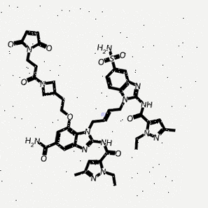 CCn1nc(C)cc1C(=O)Nc1nc2cc(S(N)(=O)=O)ccc2n1C/C=C/Cn1c(NC(=O)c2cc(C)nn2CC)nc2cc(C(N)=O)cc(OCCC3CN(C(=O)CCN4C(=O)C=CC4=O)C3)c21